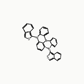 c1ccc2c(c1)B1c3ccccc3N(c3scc4ccccc34)c3cccc(c31)N2c1scc2ccccc12